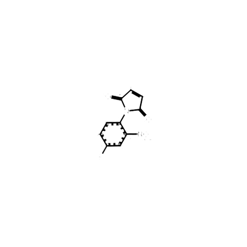 O=C1C=CC(=O)N1c1ccc(F)cc1[N+](=O)[O-]